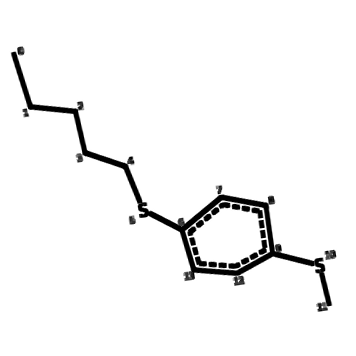 CCCCCSc1ccc(SC)cc1